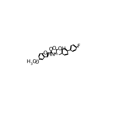 COc1ccc2oc(C(=O)N[C@@H](Cc3ccc(-c4ccc(F)cc4)cc3)C(=O)O)cc2c1